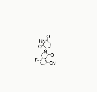 N#Cc1ccc(F)c2c1C(=O)N(C1CCC(=O)NC1=O)C2